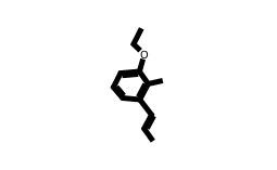 C/C=C/c1cccc(OCC)c1C